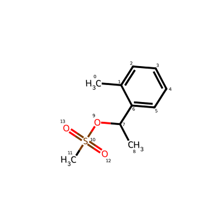 Cc1ccccc1C(C)OS(C)(=O)=O